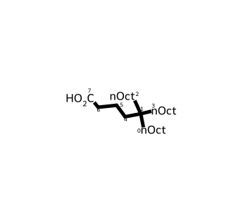 CCCCCCCCC(CCCCCCCC)(CCCCCCCC)CCCC(=O)O